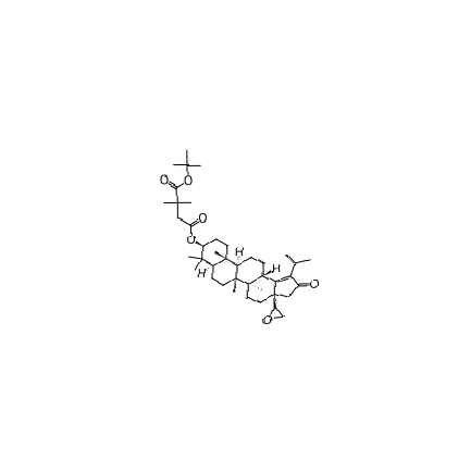 CC(C)C1=C2[C@H]3CC[C@@H]4[C@@]5(C)CC[C@H](OC(=O)CC(C)(C)C(=O)OC(C)(C)C)C(C)(C)[C@@H]5CC[C@@]4(C)[C@]3(C)CC[C@@]2(C2CO2)CC1=O